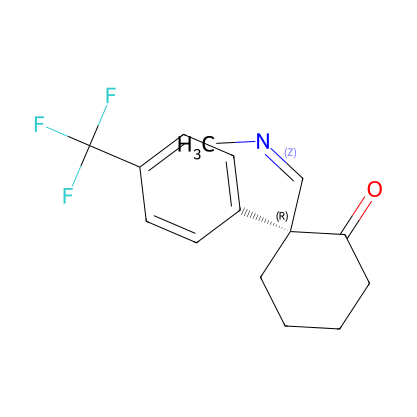 C/N=C\[C@]1(c2ccc(C(F)(F)F)cc2)CCCCC1=O